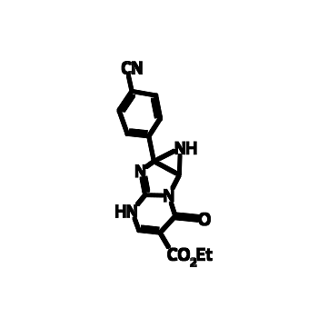 CCOC(=O)C1=CNC2=NC3(c4ccc(C#N)cc4)NC3N2C1=O